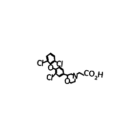 O=C(O)CCN1CCOC(c2ccc(Oc3c(Cl)cccc3Cl)c(Cl)c2)C1